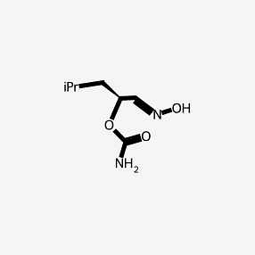 CC(C)C[C@@H](C=NO)OC(N)=O